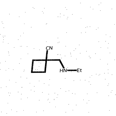 CCNCC1(C#N)CCC1